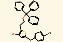 CCc1ccc(Cc2cc(Br)c(CCOC(c3ccccc3)(c3ccccc3)c3ccccc3)s2)cc1